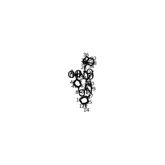 COC(=O)c1ccc(COc2ccc(C)cc2CN2CCN(C(=O)CNC(=O)CC34CC5CC(CC(C5)C3)C4)CC2)cc1